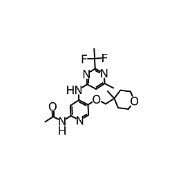 CC(=O)Nc1cc(Nc2cc(C)nc(C(C)(F)F)n2)c(OCC2(C)CCOCC2)cn1